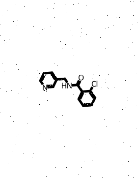 O=C(NCc1cccnc1)c1ccccc1Cl